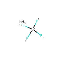 F[B-](F)(F)F.[InH3]